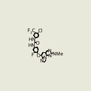 CNc1ncc2c(n1)N1CCN=C1C(Oc1ccc(NC(=O)Nc3ccc(Cl)c(C(F)(F)F)c3)cc1F)=C2